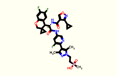 Cc1nn(CCP(C)(=O)O)c(C)c1-c1ncc(NC(=O)[C@@H](NC(=O)c2conc2C2CC2)C2c3cc(F)c(F)cc3OCC23CC3)cc1F